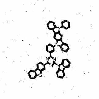 c1ccc(-n2c3ccccc3c3cc4c(cc32)c2ccccc2n4-c2cccc(-c3nc(-c4ccc5c(c4)sc4ccccc45)nc(-n4c5ccccc5c5ccccc54)n3)c2)cc1